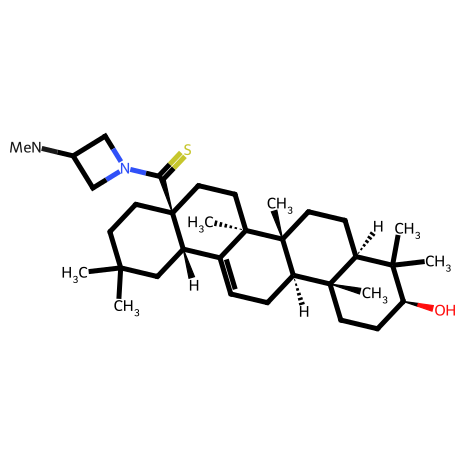 CNC1CN(C(=S)[C@]23CCC(C)(C)C[C@H]2C2=CC[C@@H]4[C@@]5(C)CC[C@H](O)C(C)(C)[C@@H]5CC[C@@]4(C)[C@]2(C)CC3)C1